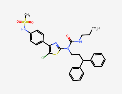 CS(=O)(=O)Nc1ccc(-c2nc(N(CCC(c3ccccc3)c3ccccc3)C(=O)NCCC(=O)O)sc2Cl)cc1